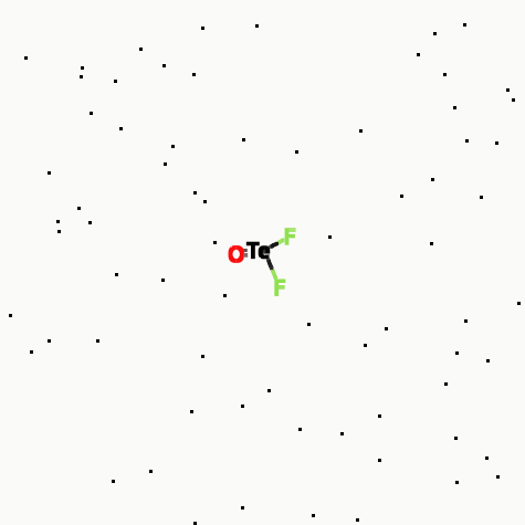 O=[Te](F)F